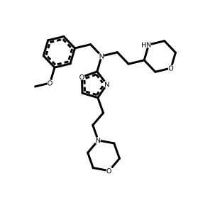 COc1cccc(CN(CCC2COCCN2)c2nc(CCN3CCOCC3)co2)c1